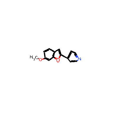 COc1ccc2cc(-c3ccncc3)oc2c1